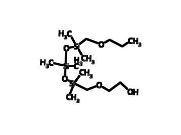 CCCOC[Si](C)(C)O[Si](C)(C)O[Si](C)(C)COCCO